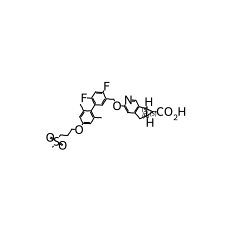 Cc1cc(OCCCS(C)(=O)=O)cc(C)c1-c1cc(COc2cc3c(cn2)[C@H]2[C@@H](C3)[C@@H]2C(=O)O)c(F)cc1F